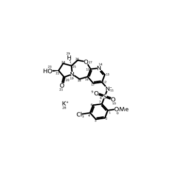 COc1ccc(Cl)cc1S(=O)(=O)[N-]c1cnc2c(c1)CN1C(=O)[C@@H](O)C[C@H]1CO2.[K+]